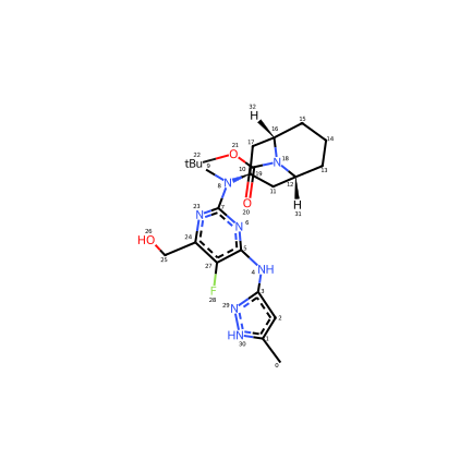 Cc1cc(Nc2nc(N(C)[C@@H]3C[C@H]4CCC[C@@H](C3)N4C(=O)OC(C)(C)C)nc(CO)c2F)n[nH]1